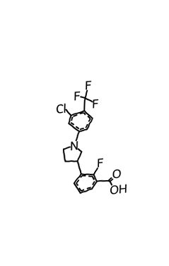 O=C(O)c1cccc(C2CCN(c3ccc(C(F)(F)F)c(Cl)c3)C2)c1F